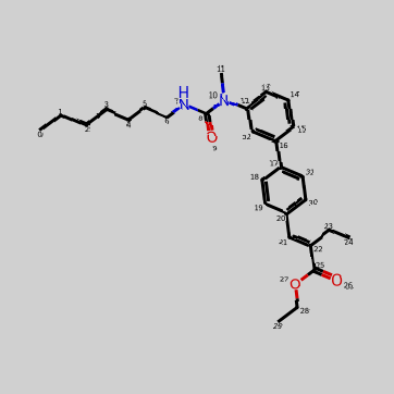 CCCCCCCNC(=O)N(C)c1cccc(-c2ccc(/C=C(\CC)C(=O)OCC)cc2)c1